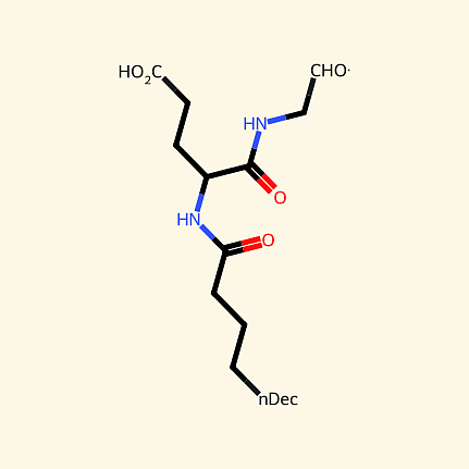 CCCCCCCCCCCCCC(=O)NC(CCC(=O)O)C(=O)NC[C]=O